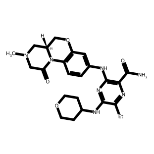 CCc1nc(C(N)=O)c(Nc2ccc3c(c2)OC[C@H]2CN(C)CC(=O)N32)nc1NC1CCOCC1